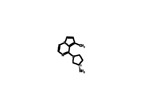 Cc1ccn2ccnc(N3CC[C@H](N)C3)c12